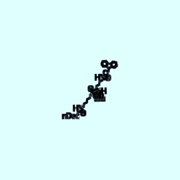 CCCCCCCCCCCC(=O)NCCCCCCNC(=O)C(CCCCNC(=O)OCC1c2ccccc2-c2ccccc21)NC(=O)OC(C)(C)C